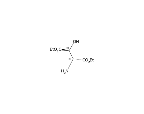 CCOC(=O)[C@@H](O)[C@@H](N)C(=O)OCC